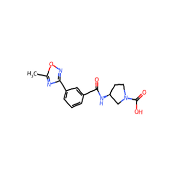 Cc1nc(-c2cccc(C(=O)N[C@H]3CCN(C(=O)O)C3)c2)no1